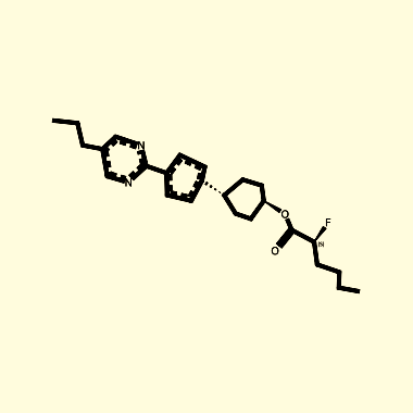 CCCC[C@H](F)C(=O)O[C@H]1CC[C@H](c2ccc(-c3ncc(CCC)cn3)cc2)CC1